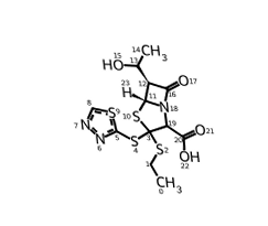 CCSC1(Sc2nncs2)S[C@@H]2[C@@H](C(C)O)C(=O)N2C1C(=O)O